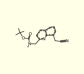 CN(Cc1ccc2cccc(CC#N)c2n1)C(=O)OC(C)(C)C